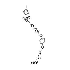 Cc1ccc(S(=O)(=O)OCCOCCOCCOc2ccc(OCCOCCOCCO)cc2)cc1